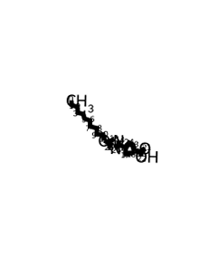 CCCCCCCCCCCOc1cnc(-c2ccc(C(=O)O)cc2)nc1